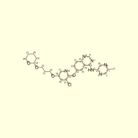 Cc1cnc(Nc2ncnc3ccc(Oc4ncc(OCCCOC5CCCCO5)cc4Cl)cc23)cn1